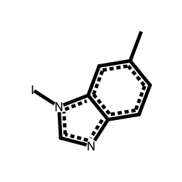 Cc1ccc2ncn(I)c2c1